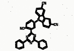 N#Cc1ccc2c(c1)c1cc(C#N)ccc1n2-c1ccc(C#N)c(-c2nc(-c3ccccc3)nc(-c3ccccc3)n2)c1